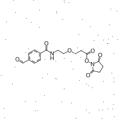 O=Cc1ccc(C(=O)NCCOCCC(=O)ON2C(=O)CCC2=O)cc1